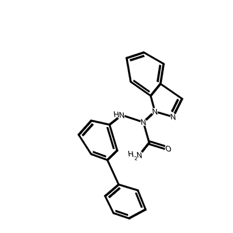 NC(=O)N(Nc1cccc(-c2ccccc2)c1)n1ncc2ccccc21